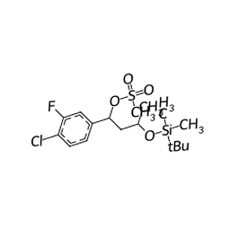 CC(CC(OS(C)(=O)=O)c1ccc(Cl)c(F)c1)O[Si](C)(C)C(C)(C)C